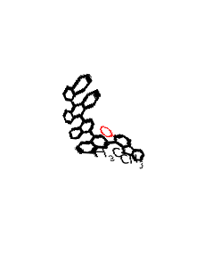 CC1(C)c2ccccc2-c2ccc3oc4c(-c5ccc(-c6c7ccccc7c(-c7cccc8ccccc78)c7ccccc67)c6ccccc56)c5ccccc5cc4c3c21